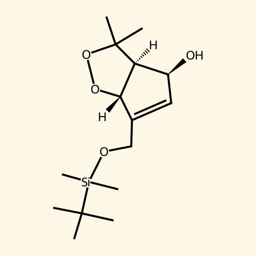 CC1(C)OO[C@H]2C(CO[Si](C)(C)C(C)(C)C)=C[C@H](O)[C@@H]21